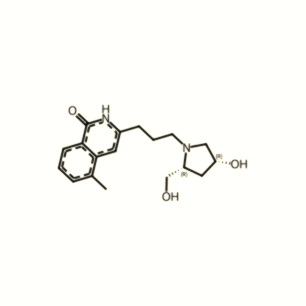 Cc1cccc2c(=O)[nH]c(CCCN3C[C@H](O)C[C@@H]3CO)cc12